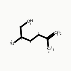 C=C(C)CCC(CC)CO